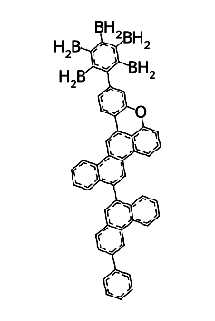 Bc1c(B)c(B)c(-c2ccc3c(c2)Oc2cccc4c2c-3cc2c3ccccc3c(-c3cc5ccc(-c6ccccc6)cc5c5ccccc35)cc42)c(B)c1B